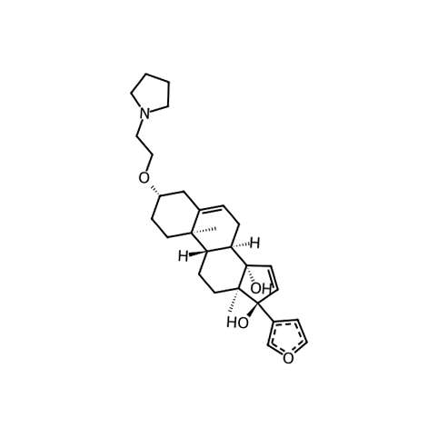 C[C@]12CC[C@H]3[C@@H](CC=C4C[C@@H](OCCN5CCCC5)CC[C@@]43C)[C@@]1(O)C=C[C@]2(O)c1ccoc1